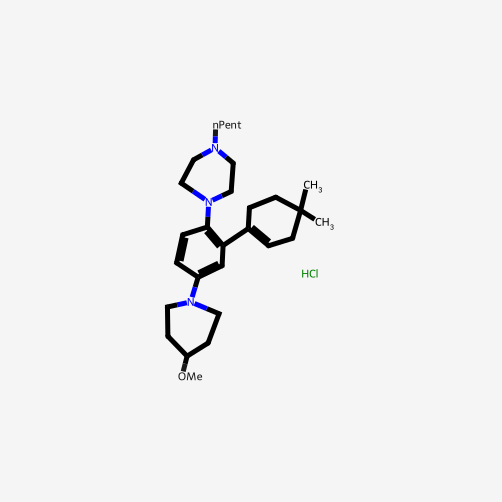 CCCCCN1CCN(c2ccc(N3CCC(OC)CC3)cc2C2=CCC(C)(C)CC2)CC1.Cl